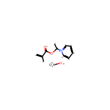 C=C(C)C(=O)OC(C)[n+]1ccccc1.O=[N+]([O-])[O-]